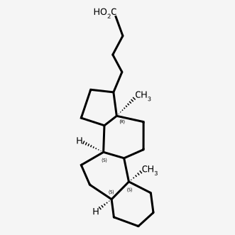 C[C@]12CCC3[C@@H](CC[C@@H]4CCCC[C@]34C)C1CCC2CCCC(=O)O